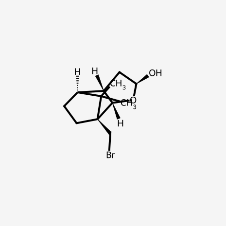 CC1(C)[C@H]2CC[C@@]1(CBr)[C@H]1O[C@H](O)C[C@@H]21